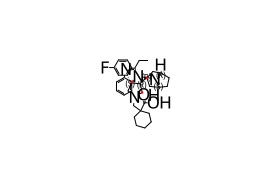 CCc1nc2ccccc2n1[C@H]1C[C@H]2CC[C@@H](C1)N2C[C@H]1CN(CC2(C(=O)O)CCCCC2)C[C@@H]1c1cccc(F)c1